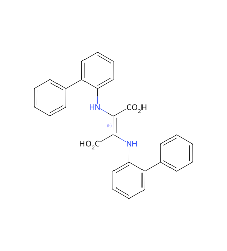 O=C(O)/C(Nc1ccccc1-c1ccccc1)=C(\Nc1ccccc1-c1ccccc1)C(=O)O